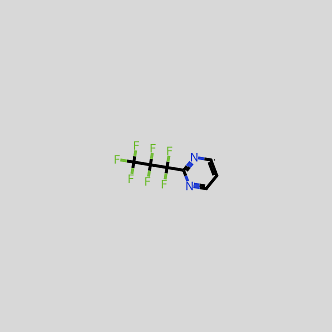 FC(F)(F)C(F)(F)C(F)(F)c1n[c]ccn1